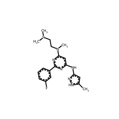 Cc1cc(Nc2cc(N(C)CCN(C)C)nc(-c3cccc(F)c3)n2)n[nH]1